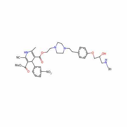 COC(=O)C1=C(C#N)NC(C)=C(C(=O)OCCN2CCN(CCc3ccc(OCC(O)CNC(C)C)cc3)CC2)C1c1cccc([N+](=O)[O-])c1